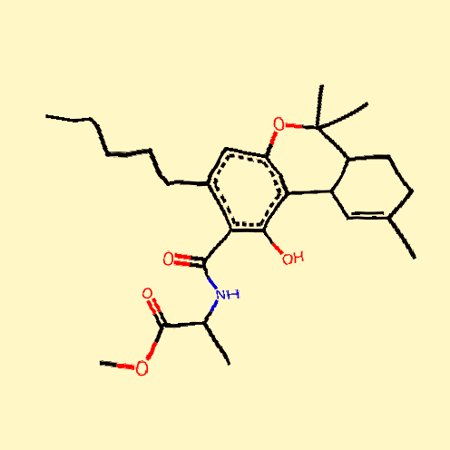 CCCCCc1cc2c(c(O)c1C(=O)NC(C)C(=O)OC)C1C=C(C)CCC1C(C)(C)O2